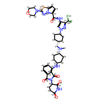 CN(C[C@H]1CC[C@H](n2cc(NC(=O)c3ccc4sc(N5CCOCC5)nn34)c(C(F)F)n2)CC1)[C@H]1CC[C@H](Nc2cccc3c2C(=O)N(C2CCC(=O)NC2=O)C3=O)CC1